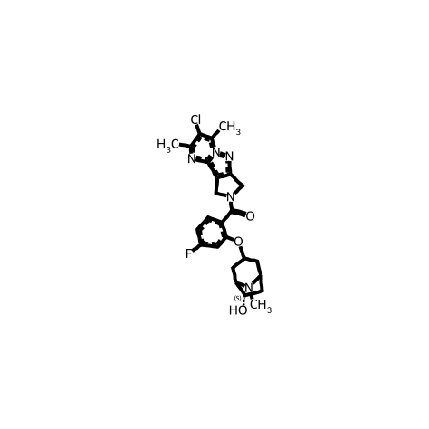 Cc1nc2c3c(nn2c(C)c1Cl)CN(C(=O)c1ccc(F)cc1OC1CC2C[C@H](O)C(C1)N2C)C3